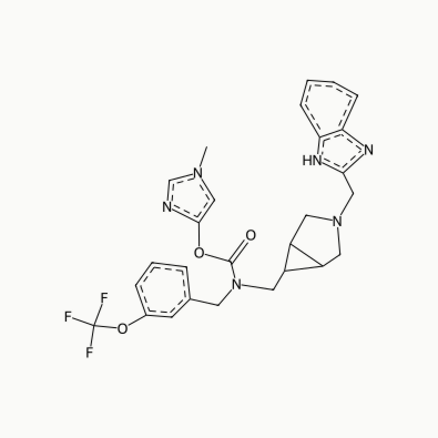 Cn1cnc(OC(=O)N(Cc2cccc(OC(F)(F)F)c2)CC2C3CN(Cc4nc5ccccc5[nH]4)CC32)c1